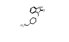 NC[C@H]1CC[C@H](Cn2c(=O)[nH]c3ccccc32)CC1